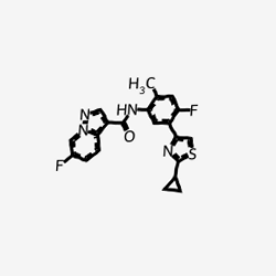 Cc1cc(F)c(-c2csc(C3CC3)n2)cc1NC(=O)c1cnn2cc(F)ccc12